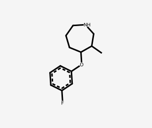 CC1CNCCCC1Oc1cccc(F)c1